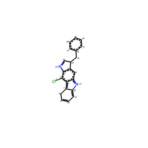 Clc1c2c(cc3c1=C1CC=CC=C1N=3)C(Cc1ccccc1)C=N2